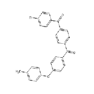 CCc1ccc(C(=O)c2ccc(C(=O)c3ccc(Oc4ccc(C)cc4)cc3)cc2)cc1